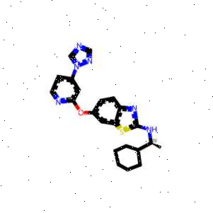 C[C@H](Nc1nc2ccc(Oc3cc(-n4cncn4)ccn3)cc2s1)C1CCCCC1